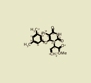 C=CC(C(=O)OC)n1c(Oc2cc(C)cc(C)c2)c(C(C)C)c(=O)[nH]c1=O